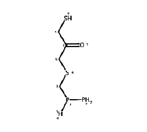 [3H]P(P)CSCC(=O)CS